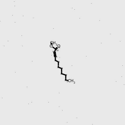 CCCCCCCCC#CC(=O)OC